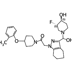 Cc1ccccc1OC1CCN(C(=O)Cn2nc(C(O)N3CC[C@H](O)[C@@H](F)C3)c3c2CCCC3)CC1